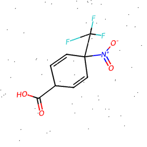 O=C(O)C1C=CC([N+](=O)[O-])(C(F)(F)F)C=C1